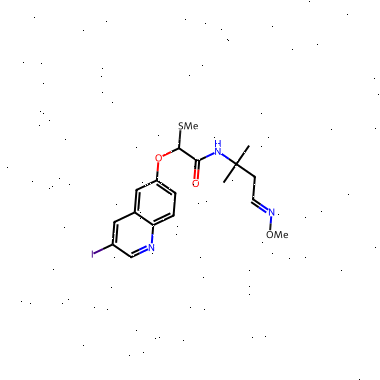 CO/N=C/CC(C)(C)NC(=O)C(Oc1ccc2ncc(I)cc2c1)SC